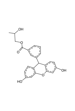 CC(O)COC(=O)c1cccc(C2c3ccc(O)cc3Oc3cc(O)ccc32)c1